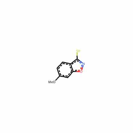 COc1ccc2c(S)noc2c1